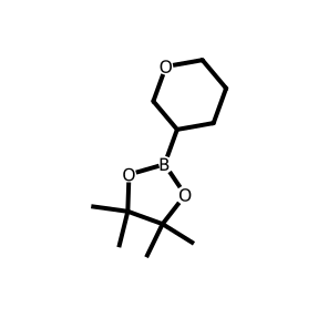 CC1(C)OB(C2CCCOC2)OC1(C)C